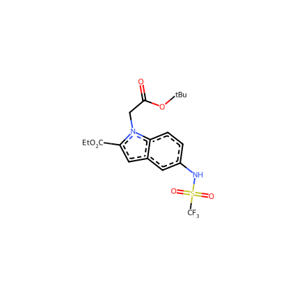 CCOC(=O)c1cc2cc(NS(=O)(=O)C(F)(F)F)ccc2n1CC(=O)OC(C)(C)C